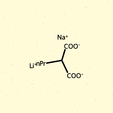 CCCC(C(=O)[O-])C(=O)[O-].[Li+].[Na+]